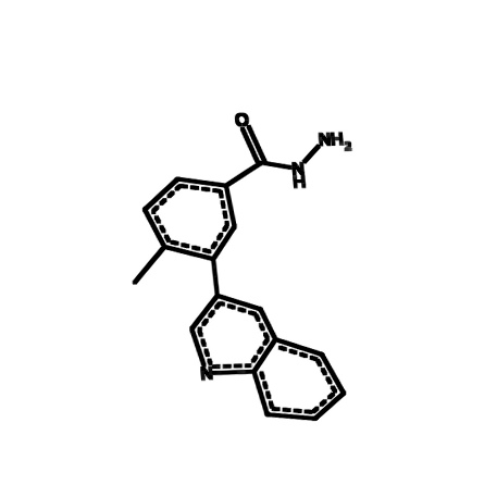 Cc1ccc(C(=O)NN)cc1-c1cnc2ccccc2c1